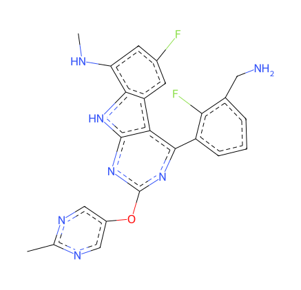 CNc1cc(F)cc2c1[nH]c1nc(Oc3cnc(C)nc3)nc(-c3cccc(CN)c3F)c12